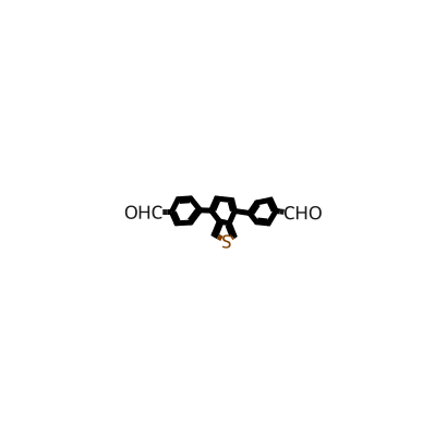 O=Cc1ccc(-c2ccc(-c3ccc(C=O)cc3)c3cscc23)cc1